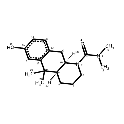 CN(C)C(=O)N1CCC[C@@H]2[C@H]1Cc1ccc(O)cc1C2(C)C